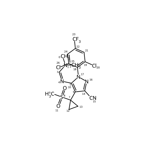 CN(C)/C=N\c1c(C2(S(C)(=O)=O)CC2)c(C#N)nn1-c1c(Cl)cc(C(F)(F)F)cc1Cl